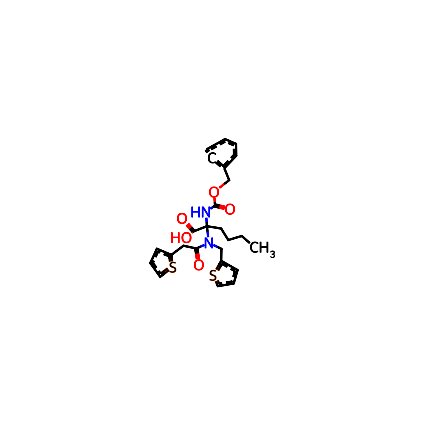 CCCCC(NC(=O)OCc1ccccc1)(C(=O)O)N(Cc1cccs1)C(=O)Cc1cccs1